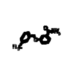 Cc1cccc(COc2cccc(C(N)=O)c2)c1